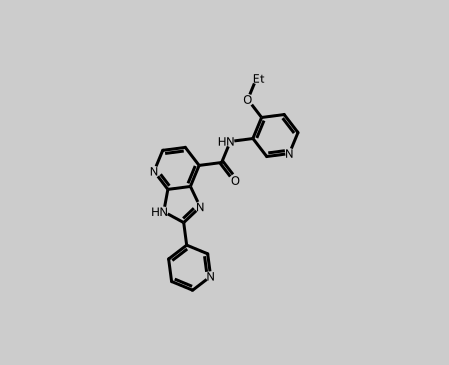 CCOc1ccncc1NC(=O)c1ccnc2[nH]c(-c3cccnc3)nc12